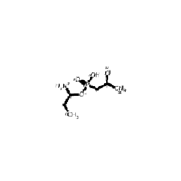 CCC(N)OP(=O)(O)CC(C)Cl